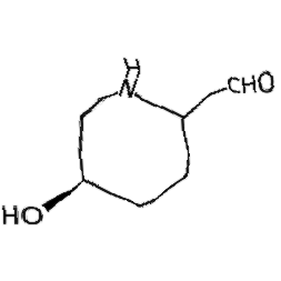 O=CC1CC[C@@H](O)CN1